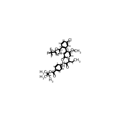 CCC(C(=O)Nc1ccc(C(=O)OC(C)(C)C)cc1)n1cc(OC)c(-c2cc(Cl)ccc2-c2nnc(C(F)(F)F)o2)cc1=O